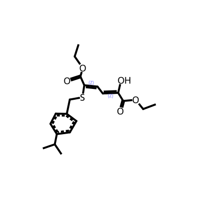 CCOC(=O)/C(O)=C/C=C(\SCc1ccc(C(C)C)cc1)C(=O)OCC